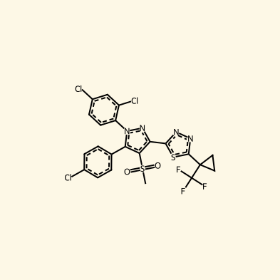 CS(=O)(=O)c1c(-c2nnc(C3(C(F)(F)F)CC3)s2)nn(-c2ccc(Cl)cc2Cl)c1-c1ccc(Cl)cc1